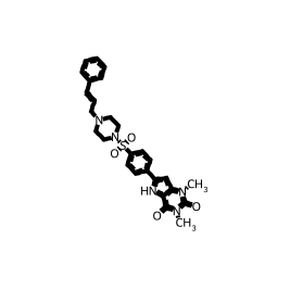 Cn1c(=O)c2[nH]c(-c3ccc(S(=O)(=O)N4CCN(CC=Cc5ccccc5)CC4)cc3)cc2n(C)c1=O